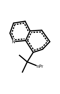 CCCC(C)(C)c1cccc2cccnc12